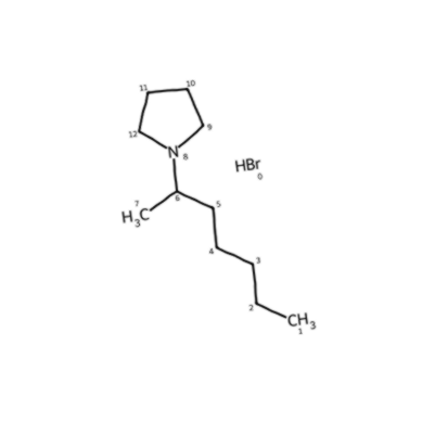 Br.CCCCCC(C)N1CCCC1